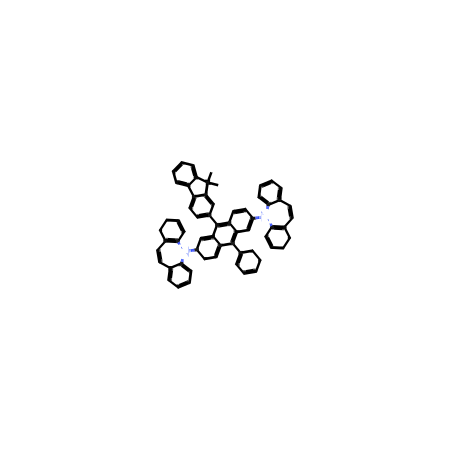 CC1(C)c2ccccc2-c2ccc(-c3c4c(c(C5=CC=CCC5)c5cc(N6C7=C(C=Cc8ccccc86)CCC=C7)ccc35)=CCC(N3C5=C(C=Cc6ccccc63)CCC=C5)C=4)cc21